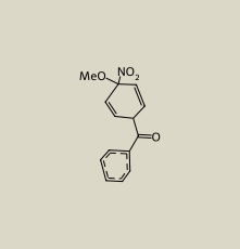 COC1([N+](=O)[O-])C=CC(C(=O)c2ccccc2)C=C1